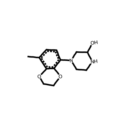 Cc1ccc(N2CCNC(O)C2)c2c1OCCO2